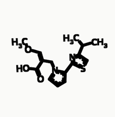 CO/C=C(/Cn1cccc1-c1nc(C(C)C)cs1)C(=O)O